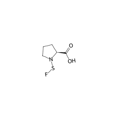 O=C(O)[C@@H]1CCCN1SF